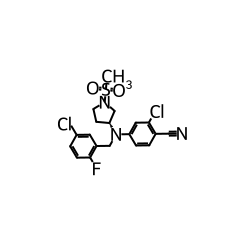 CS(=O)(=O)N1CC[C@H](N(Cc2cc(Cl)ccc2F)c2ccc(C#N)c(Cl)c2)C1